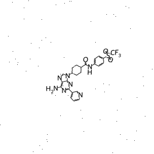 Nc1nc(-c2cccnc2)nc2c1ncn2C1CCC(C(=O)Nc2ccc(S(=O)(=O)C(F)(F)F)cc2)CC1